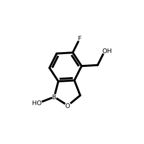 OCc1c(F)ccc2c1COB2O